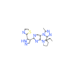 CC[C@@]12CCCN1c1nc(-c3cn[nH]c3-c3nccs3)ncc1-n1c(C)nnc12